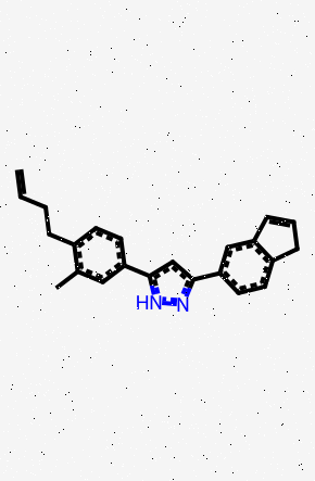 C=CCCc1ccc(-c2cc(-c3ccc4c(c3)C=CC4)n[nH]2)cc1C